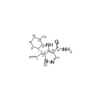 C=C/C=C1/C(NC2CCCCC2C)=C(C(N)=O)C=NN1C